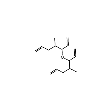 C=CCC(C)C(C=C)OC(C=C)C(C)CC=C